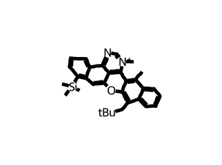 Cc1c2c(c(CC(C)(C)C)c3ccccc13)Oc1cc3c([Si](C)(C)C)cccc3c3nc[n+](C)c-2c13